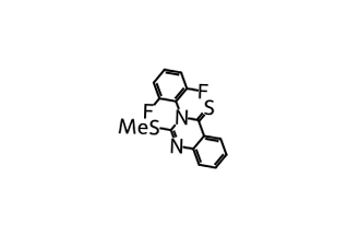 CSc1nc2ccccc2c(=S)n1-c1c(F)cccc1F